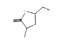 CCCCCC1CC(CO)NC1=O